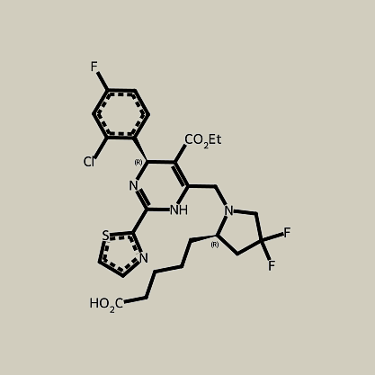 CCOC(=O)C1=C(CN2CC(F)(F)C[C@H]2CCCCC(=O)O)NC(c2nccs2)=N[C@H]1c1ccc(F)cc1Cl